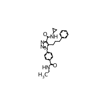 CCNC(=O)c1ccc(-n2nnc(C(=O)NC3CC3)c2CCCc2ccccc2)cc1